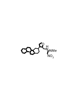 CNC(=C[N+](=O)[O-])NCc1occc1C1CCc2ccc3c(ccc4ccccc43)c2C1